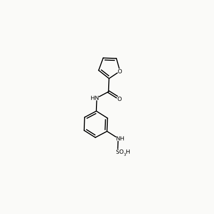 O=C(Nc1cccc(NS(=O)(=O)O)c1)c1ccco1